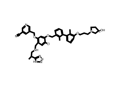 Cc1c(COc2cc(OCc3cncc(C#N)c3)c(CNCC(C)c3nnn[nH]3)cc2Cl)cccc1-c1cccc(OCCCN2CC[C@@H](O)C2)c1C